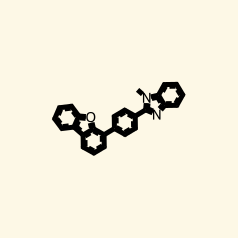 Cn1c(-c2ccc(-c3cccc4c3oc3ccccc34)cc2)nc2ccccc21